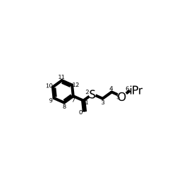 C=C(SCCOC(C)C)c1ccccc1